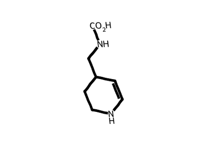 O=C(O)NCC1C=CNCC1